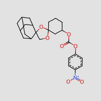 O=C(Oc1ccc([N+](=O)[O-])cc1)OC1CCCC2(C1)OCC1(O2)C2CC3CC(C2)CC1C3